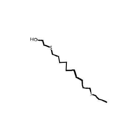 CCCSCCCCCCCCCCSCCO